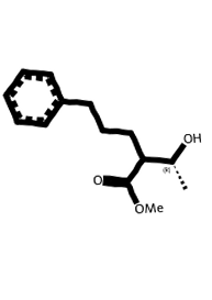 COC(=O)C(CCCc1ccccc1)[C@@H](C)O